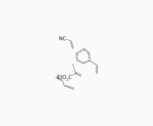 C=C(C)C(=O)OCC.C=CC#N.C=CC=C.C=Cc1ccccc1